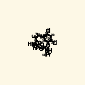 CCCNC(=O)/C(C)=C(/C)N.COP(=S)(NC(C)C)Oc1ccc(Cl)cc1Cl